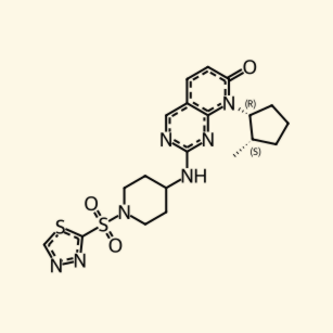 C[C@H]1CCC[C@H]1n1c(=O)ccc2cnc(NC3CCN(S(=O)(=O)c4nncs4)CC3)nc21